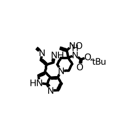 C=N/C=C(\C=N)c1c[nH]c2nccc(N3CCC(NC(=O)OC(C)(C)C)(C(=C)N=O)CC3)c12